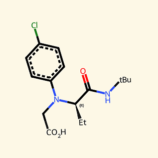 CC[C@H](C(=O)NC(C)(C)C)N(CC(=O)O)c1ccc(Cl)cc1